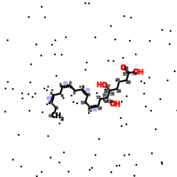 CC/C=C\C/C=C\C/C=C\C/C=C\C[C@@H](O)[C@@H](O)CCCC(=O)O